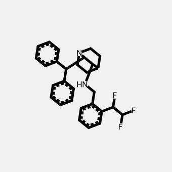 FC(F)C(F)c1ccccc1CNC1C2CCN(CC2)C1C(c1ccccc1)c1ccccc1